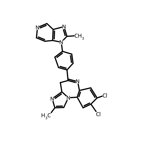 Cc1cn2c(n1)CC(c1ccc(-n3c(C)nc4cnccc43)cc1)=Nc1cc(Cl)c(Cl)cc1-2